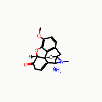 COc1ccc2c3c1O[C@H]1C(=O)CC=C4[C@@]31CC1(C2)N(C)[C@@]41N